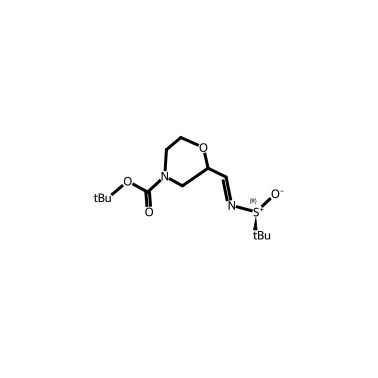 CC(C)(C)OC(=O)N1CCOC(C=N[S@@+]([O-])C(C)(C)C)C1